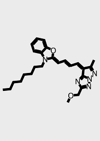 CCCCCCCCN1/C(=C/C=C/C=c2/c(C)nn3nc(COC)nc23)Oc2ccccc21